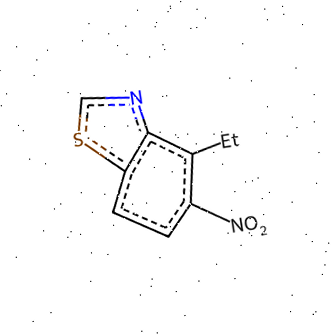 CCc1c([N+](=O)[O-])ccc2scnc12